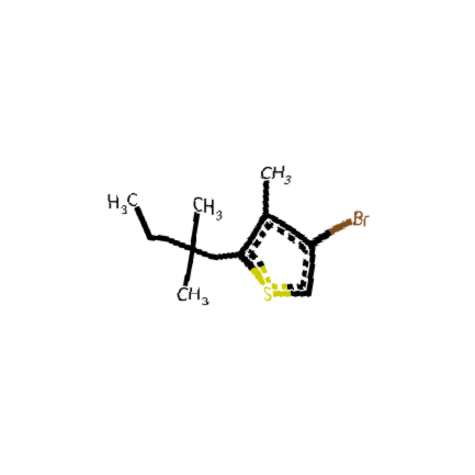 CCC(C)(C)c1scc(Br)c1C